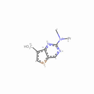 CC(C)N(C)c1ncc2scc(C(=O)O)c2n1